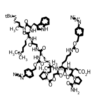 C[C@H](CSSC(C)(C)C)NC(=O)[C@@H](Cc1c[nH]c2ccccc12)NC(=O)[C@@H](CCCCN(C)C)NC(=O)CNC(=O)[C@H](CSSC(C)(C)CN1CCC[C@H]1C(=O)OCC(=O)N[C@@H](CCCCNC(=O)OCc1ccc(N=[N+]=[N-])cc1)C(=O)N[C@@H](CC(=O)O)C(=O)N1CCC[C@H]1C(N)=O)NC(=O)OCc1ccc(N=[N+]=[N-])cc1